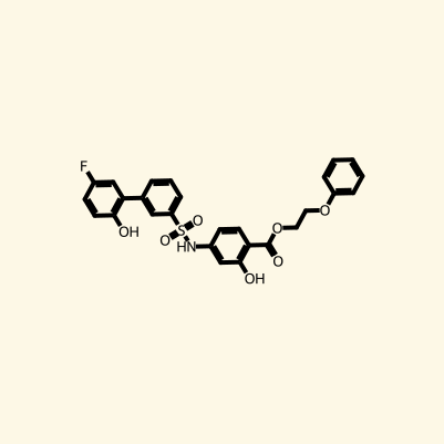 O=C(OCCOc1ccccc1)c1ccc(NS(=O)(=O)c2cccc(-c3cc(F)ccc3O)c2)cc1O